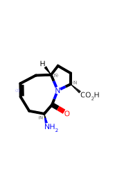 N[C@H]1C/C=C\C[C@@H]2CC[C@@H](C(=O)O)N2C1=O